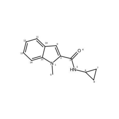 Cn1c(C(=O)NC2CC2)cc2ccccc21